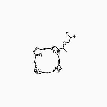 CC(OCC(F)F)c1cc2cc3nc(cc4ccc(cc5nc(cc1[nH]2)C=C5)[nH]4)C=C3